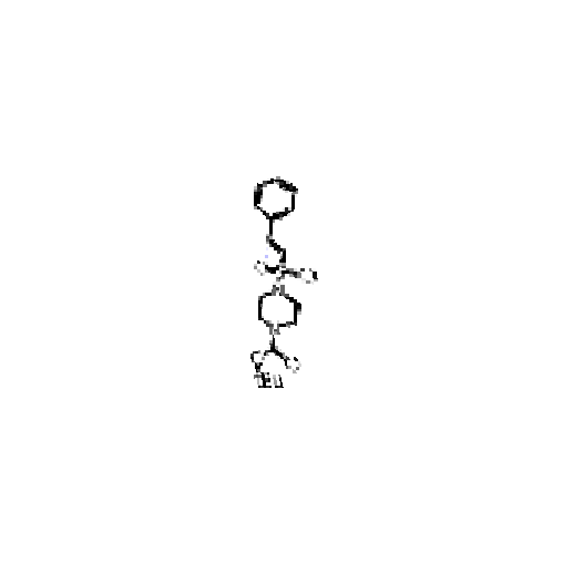 CC(C)(C)OC(=O)N1CCN(S(=O)(=O)/C=C/c2ccccc2)CC1